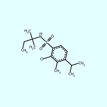 CCC(C)(C)NS(=O)(=O)c1ccc(C(C)C)c(C)c1Cl